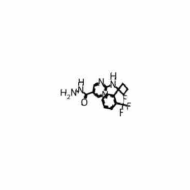 NNC(=O)c1cnc(NC2(c3ccccc3C(F)(F)F)CCC2)nc1